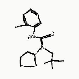 Cc1ccccc1NC(=O)N(CC(C)(C)C)C1CCCCC1